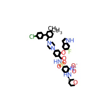 CC1(C)CCC(CN2CCN(c3ccc(C(=O)NS(=O)(=O)c4ccc(NC[C@@H]5CCCOC5)c([N+](=O)[O-])c4)c(Oc4cc5cc[nH]c5cc4F)c3)CC2)=C(c2ccc(Cl)cc2)C1